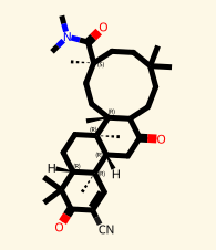 CN(C)C(=O)[C@@]1(C)CCC(C)(C)CCC2C(=O)C[C@@H]3[C@@]4(C)C=C(C#N)C(=O)C(C)(C)[C@@H]4CC[C@@]3(C)[C@]2(C)CC1